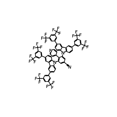 N#Cc1cc(-n2c3ccc(-c4cc(C(F)(F)F)cc(C(F)(F)F)c4)cc3c3cc(-c4cc(C(F)(F)F)cc(C(F)(F)F)c4)ccc32)c(-c2ccncc2)c(-n2c3ccc(-c4cc(C(F)(F)F)cc(C(F)(F)F)c4)cc3c3cc(-c4cc(C(F)(F)F)cc(C(F)(F)F)c4)ccc32)c1